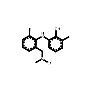 CCN(C)Cc1cccc(C)c1Pc1cccc(C)c1O